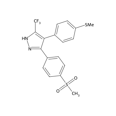 CSc1ccc(-c2c(-c3ccc(S(C)(=O)=O)cc3)n[nH]c2C(F)(F)F)cc1